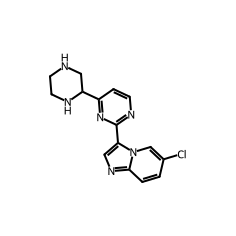 Clc1ccc2ncc(-c3nccc(C4CNCCN4)n3)n2c1